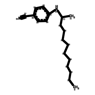 CCCCCCCCCCC(C)Nc1ccc(C#N)cc1